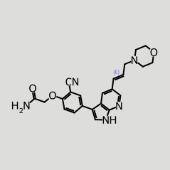 N#Cc1cc(-c2c[nH]c3ncc(/C=C/CN4CCOCC4)cc23)ccc1OCC(N)=O